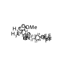 COC(=O)c1cc(S(=O)(=O)NCCc2ccc(OCC(F)(F)C(F)F)cc2)cc(C)c1C